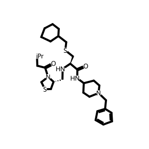 CC(C)CC(=O)N1CSC[C@H]1CN[C@@H](CSCC1CCCCC1)C(=O)NC1CCN(Cc2ccccc2)CC1